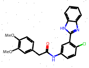 COc1ccc(CC(=O)Nc2ccc(Cl)c(-c3nc4ccccc4[nH]3)c2)cc1OC